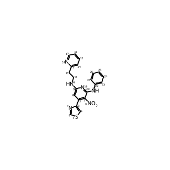 O=[N+]([O-])c1c(-c2cscn2)cc(NCCc2ccccn2)nc1Nc1ccccc1